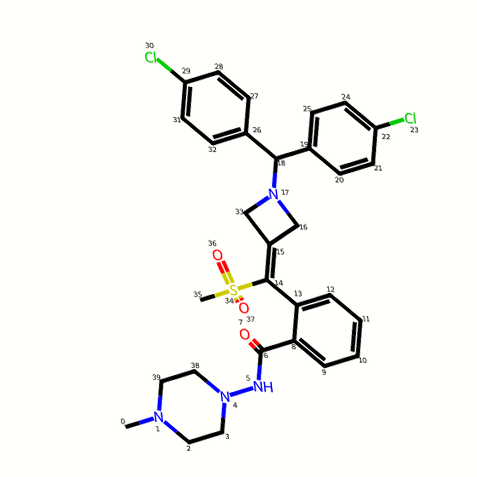 CN1CCN(NC(=O)c2ccccc2C(=C2CN(C(c3ccc(Cl)cc3)c3ccc(Cl)cc3)C2)S(C)(=O)=O)CC1